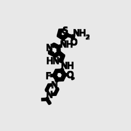 COc1cc(N2CCN(C(C)C)CC2)c(F)cc1Nc1cc2c(Nc3ccsc3C(N)=O)cncc2[nH]1